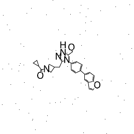 O=CC1NN=C(CC2CN(C(=O)C3CC3)C2)N1c1ccc(-c2ccc3occc3c2)cc1